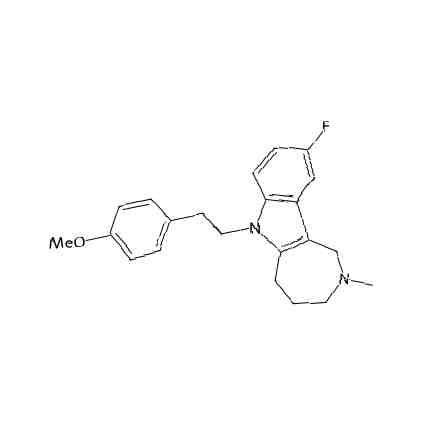 COc1ccc(CCn2c3c(c4cc(F)ccc42)CN(C)CCC3)cc1